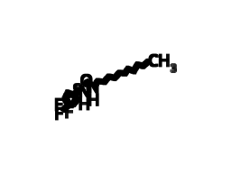 CCCCCCCCCCCCNC(=O)NSc1ccc(C(F)(F)F)cc1